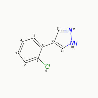 Clc1ccccc1-c1[c]n[nH]c1